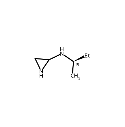 CC[C@@H](C)NC1CN1